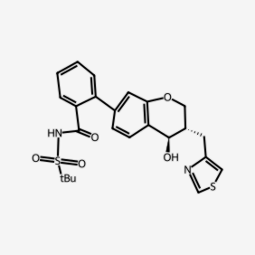 CC(C)(C)S(=O)(=O)NC(=O)c1ccccc1-c1ccc2c(c1)OC[C@H](Cc1cscn1)[C@H]2O